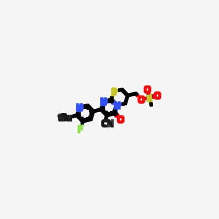 CC(C)(C)c1ncc(-c2nc3n(c(=O)c2C#N)CC(COS(C)(=O)=O)CS3)cc1F